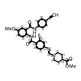 C#Cc1ccc(NC(=O)c2cc(OC)ccc2NC(=O)c2ccc(N=CN3CCC(C(=O)OC)CC3)cc2F)cc1